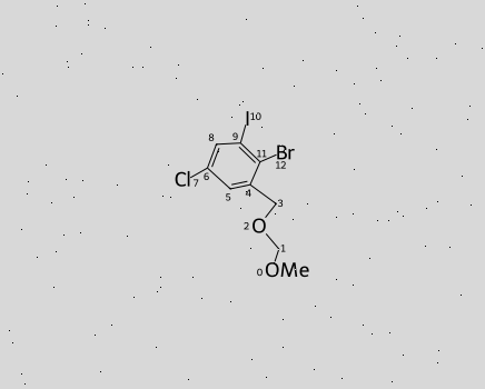 COCOCc1cc(Cl)cc(I)c1Br